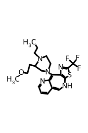 CCCN1CCN(C2=c3ncccc3=CNc3sc(C(F)(F)F)nc32)CC1CCOC